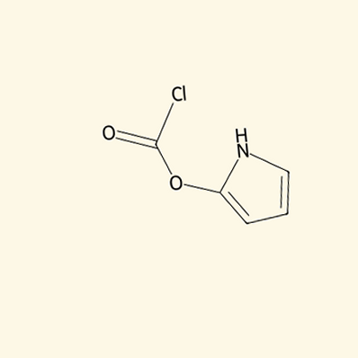 O=C(Cl)Oc1ccc[nH]1